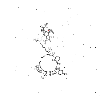 CCC[C@H]1C[C@H](C)[C@@]2(NC1=O)O[C@@H](C[C@H](O)[C@@H](C)CC/C=C/C=C(\C)[C@@H]1C/C=C/C=C/[C@H](O)[C@H](C)[C@@H](O)[C@@H](CCC(C)=O)C(=O)N[C@@H](C(C)C)C(=O)N[C@@H](Cc3cccc(O)c3)C(=O)N3CCCC(N3)C(=O)O1)[C@H](C)[C@H](O)[C@@H]2C